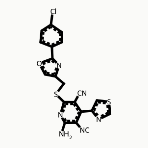 [C-]#[N+]c1c(N)nc(SCc2coc(-c3ccc(Cl)cc3)n2)c(C#N)c1-c1cscn1